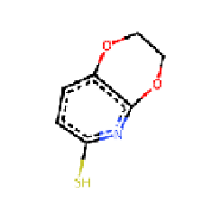 Sc1ccc2c(n1)OCCO2